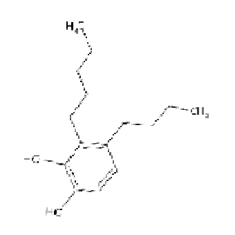 CCCCCc1c(CCCC)ccc(O)c1O